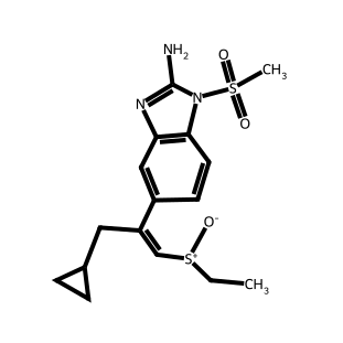 CC[S+]([O-])/C=C(/CC1CC1)c1ccc2c(c1)nc(N)n2S(C)(=O)=O